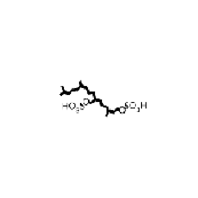 CC(C)=CCCC(C)=CCCC(=CCCC(C)=CCOS(=O)(=O)O)COS(=O)(=O)O